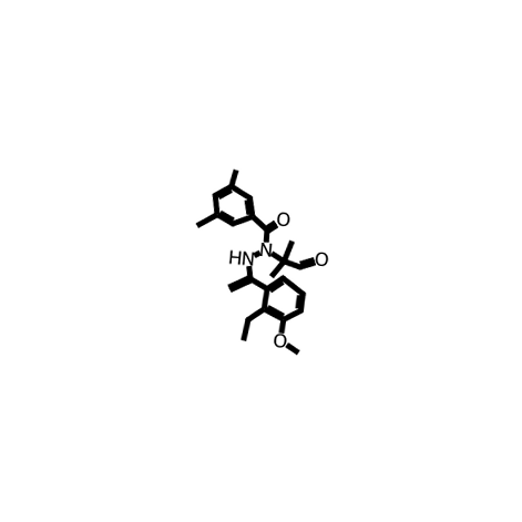 C=C(NN(C(=O)c1cc(C)cc(C)c1)C(C)(C)C=O)c1cccc(OC)c1CC